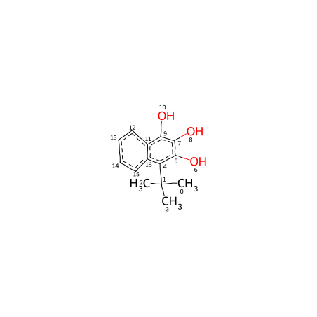 CC(C)(C)c1c(O)c(O)c(O)c2ccccc12